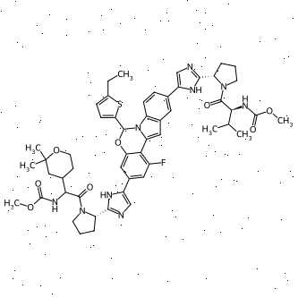 CCc1ccc(C2Oc3cc(-c4cnc([C@@H]5CCCN5C(=O)C(NC(=O)OC)C5CCOC(C)(C)C5)[nH]4)cc(F)c3-c3cc4cc(-c5cnc([C@@H]6CCCN6C(=O)[C@@H](NC(=O)OC)C(C)C)[nH]5)ccc4n32)s1